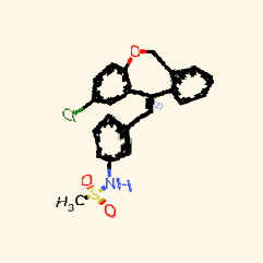 CS(=O)(=O)Nc1cccc(/C=C2/c3ccccc3COc3ccc(Cl)cc32)c1